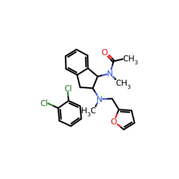 CC(=O)N(C)C1c2ccccc2CC1N(C)Cc1ccco1.Clc1ccccc1Cl